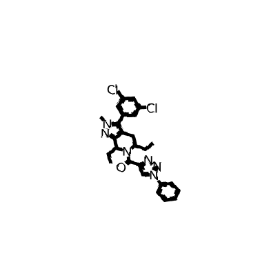 CCC1Cc2c(nn(C)c2-c2cc(Cl)cc(Cl)c2)C(CC)N1C(=O)c1cn(-c2ccccc2)nn1